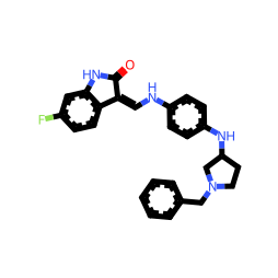 O=C1Nc2cc(F)ccc2C1=CNc1ccc(NC2CCN(Cc3ccccc3)C2)cc1